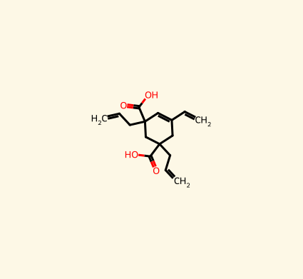 C=CCC1(C(=O)O)C=C(C=C)CC(CC=C)(C(=O)O)C1